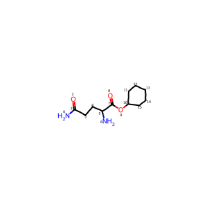 NC(=O)CCC(N)C(=O)OC1CCCCC1